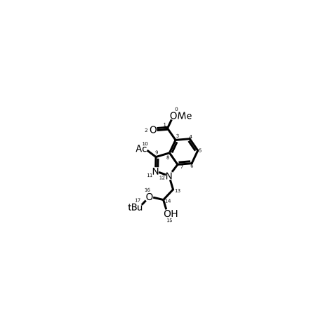 COC(=O)c1cccc2c1c(C(C)=O)nn2CC(O)OC(C)(C)C